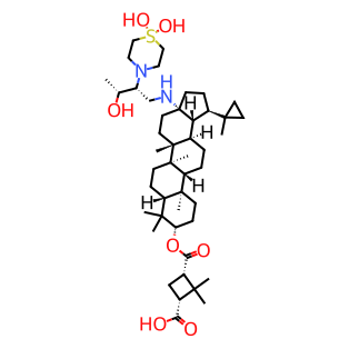 C[C@@H](O)[C@@H](CN[C@]12CC[C@@H](C3(C)CC3)[C@@H]1[C@H]1CC[C@@H]3[C@@]4(C)CC[C@H](OC(=O)[C@H]5C[C@@H](C(=O)O)C5(C)C)C(C)(C)[C@@H]4CC[C@@]3(C)[C@]1(C)CC2)N1CCS(O)(O)CC1